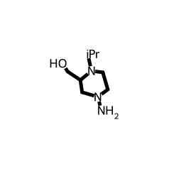 CC(C)N1CCN(N)CC1CO